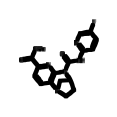 COC(=O)c1ccc2c(n1)N(C(=O)Nc1ccc(F)cn1)C1CCN2C1